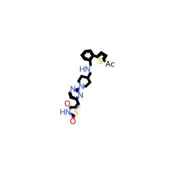 CC(=O)c1ccc(-c2ccccc2CNCC2CCN(c3nccc(/C=C4/SC(=O)NC4=O)n3)CC2)s1